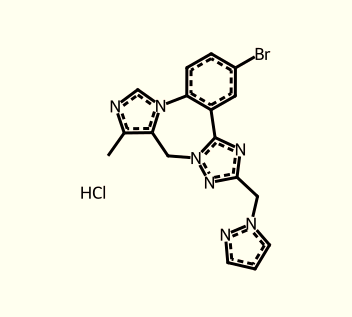 Cc1ncn2c1Cn1nc(Cn3cccn3)nc1-c1cc(Br)ccc1-2.Cl